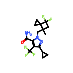 CC1(Cn2nc(C3CC3)c(C(F)(F)F)c2C(N)=O)CC(F)(F)C12CC2